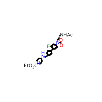 CCOC(=O)N1CCC(NCc2ccc(-c3ccc(N4C[C@H](CNC(C)=O)OC4=O)cc3F)cc2)CC1